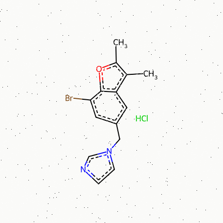 Cc1oc2c(Br)cc(Cn3ccnc3)cc2c1C.Cl